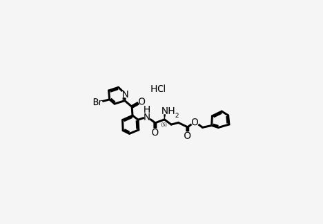 Cl.N[C@@H](CCC(=O)OCc1ccccc1)C(=O)Nc1ccccc1C(=O)c1cc(Br)ccn1